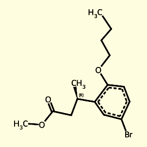 CCCCOc1ccc(Br)cc1[C@H](C)CC(=O)OC